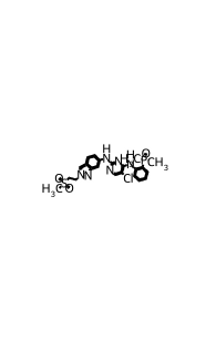 CP(C)(=O)c1ccccc1Nc1nc(Nc2ccc3cn(CCS(C)(=O)=O)nc3c2)ncc1Cl